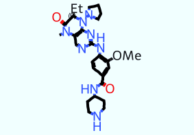 CC[C@@H]1C(=O)N(C)c2cnc(Nc3ccc(C(=O)NC4CCNCC4)cc3OC)nc2N1N1CCCC1